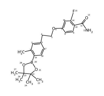 Cc1cc(CCOc2ccc(C(N)=O)c(F)c2)ccc1B1OC(C)(C)C(C)(C)O1